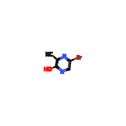 N#Cc1nc(Br)cnc1O